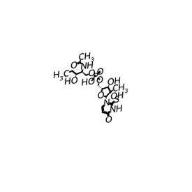 CC[C@@H](O)[C@H](COP(=O)(O)OC[C@H]1O[C@@H](n2ccc(=O)[nH]c2=S)C(C)(O)[C@H]1O)NC(C)=O